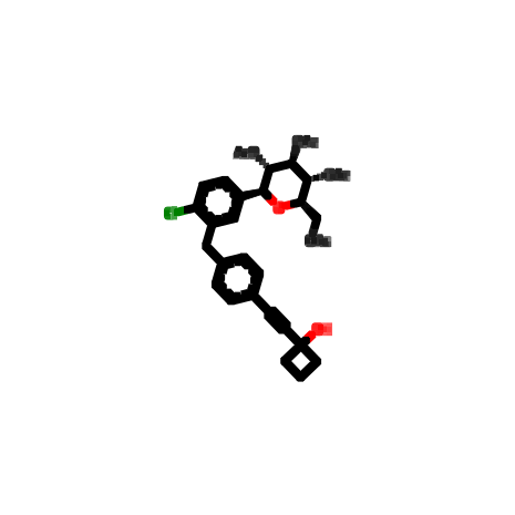 CC(=O)OC[C@H]1O[C@@H](c2ccc(Cl)c(Cc3ccc(C#CC4(O)CCC4)cc3)c2)[C@H](OC(C)=O)[C@@H](OC(C)=O)[C@@H]1OC(C)=O